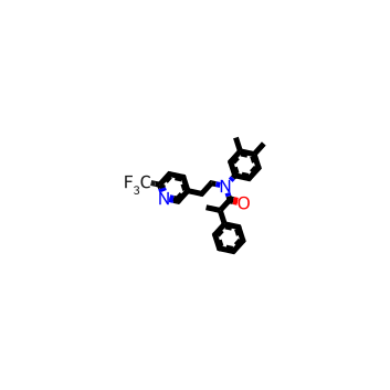 Cc1ccc(N(CCc2ccc(C(F)(F)F)nc2)C(=O)C(C)c2ccccc2)cc1C